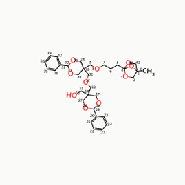 CC12COC(CCCOCC3(COCC4(CO)COC(c5ccccc5)OC4)COC(c4ccccc4)OC3)(OC1)O2